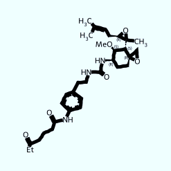 CCC(=O)CCCC(=O)Nc1ccc(CCNC(=O)N[C@@H]2CC[C@]3(CO3)[C@@H](C3(C)O[C@@H]3CC=C(C)C)[C@@H]2OC)cc1